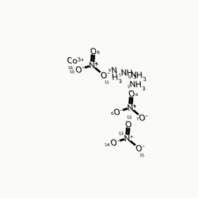 N.N.N.N.O=[N+]([O-])[O-].O=[N+]([O-])[O-].O=[N+]([O-])[O-].[Co+3]